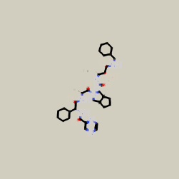 CCC[C@H](NC(=O)[C@@H]1[C@H]2CCC[C@H]2CN1C(=O)[C@@H](NC(=O)[C@@H](NC(=O)c1cnccn1)C1CCCCC1)C(C)(C)C)C(O)C(=O)N[C@@H](C)C1CCCCC1